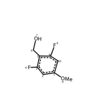 COc1cc(F)c(CO)c(F)c1